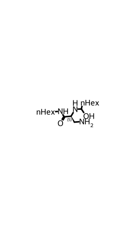 CCCCCCNC(=O)[C@H](CN)NC(O)CCCCCC